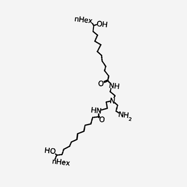 CCCCCCC(O)CCCCCCCCCCC(=O)NCCN(CCN)CCNC(=O)CCCCCCCCCCC(O)CCCCCC